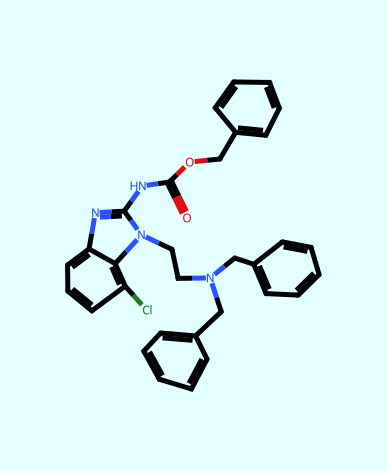 O=C(Nc1nc2cccc(Cl)c2n1CCN(Cc1ccccc1)Cc1ccccc1)OCc1ccccc1